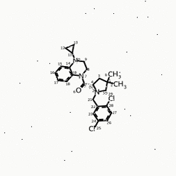 CC1(C)C[C@@H](C(=O)N2CCN(C3CC3)c3ccccc32)N(Cc2cc(Cl)ccc2Cl)C1